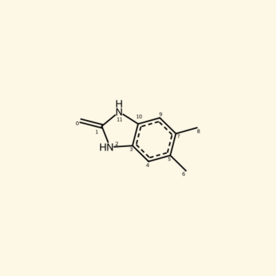 C=C1Nc2cc(C)c(C)cc2N1